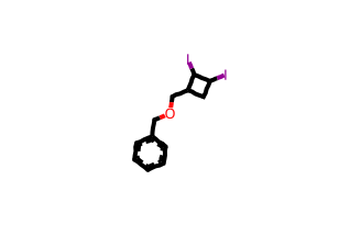 IC1CC(COCc2ccccc2)C1I